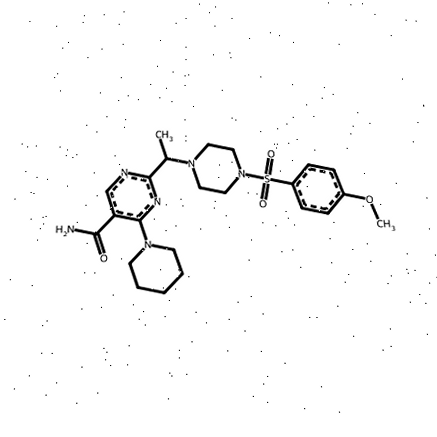 COc1ccc(S(=O)(=O)N2CCN(C(C)c3ncc(C(N)=O)c(N4CCCCC4)n3)CC2)cc1